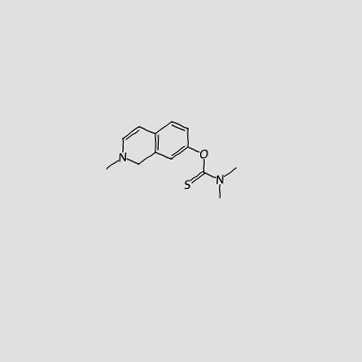 CN1C=Cc2ccc(OC(=S)N(C)C)cc2C1